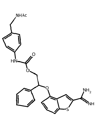 CC(=O)NCc1ccc(NC(=O)OCC(Oc2cccc3sc(C(=N)N)cc23)c2ccccc2)cc1